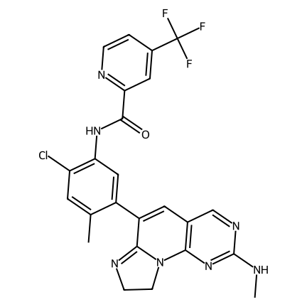 CNc1ncc2c(n1)N1CCN=C1C(c1cc(NC(=O)c3cc(C(F)(F)F)ccn3)c(Cl)cc1C)=C2